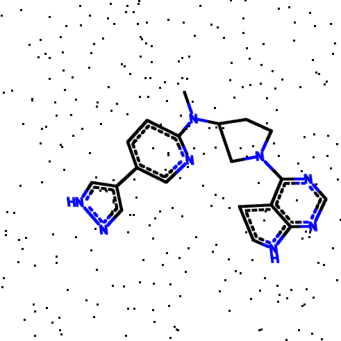 CN(c1ccc(-c2cn[nH]c2)cn1)C1CCN(c2ncnc3[nH]ccc23)C1